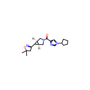 CC1(C)CC(C2[C@H]3CN(C(=O)c4cn(C5CCCC5)cn4)C[C@@H]23)=NO1